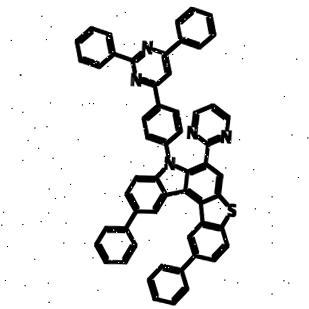 c1ccc(-c2ccc3sc4cc(-c5ncccn5)c5c(c6cc(-c7ccccc7)ccc6n5-c5ccc(-c6cc(-c7ccccc7)nc(-c7ccccc7)n6)cc5)c4c3c2)cc1